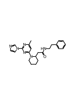 Cc1cc(N2CCCCC2CC(=O)NCCc2ccccc2)nc(-n2ccnc2)n1